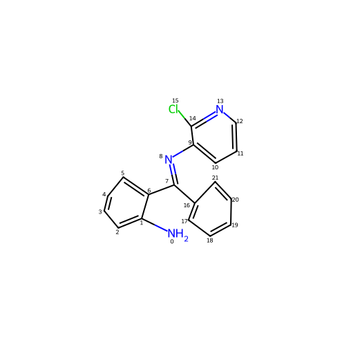 Nc1ccccc1C(=Nc1cccnc1Cl)c1ccccc1